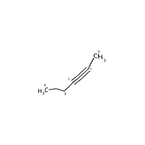 CC#CCC